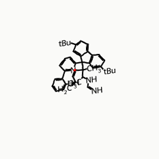 C=C/C=C\C(C)(C(C)NC=N)C1(c2cccc(-c3ccccc3O)n2)c2cc(C(C)(C)C)ccc2-c2ccc(C(C)(C)C)cc21